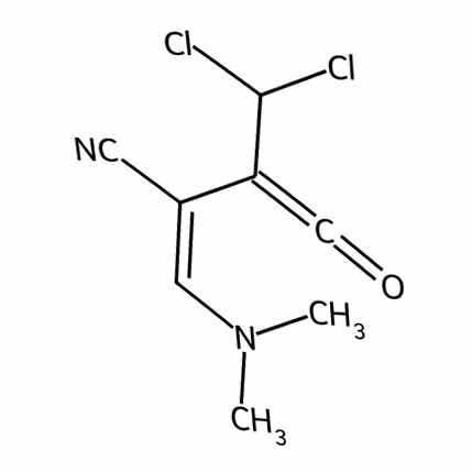 CN(C)C=C(C#N)C(=C=O)C(Cl)Cl